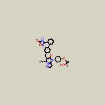 CCCc1c(Cc2ccc(-c3ccccc3-c3noc(=O)[nH]3)cc2)c(=O)n([C@H]2CC[C@H](O[C@@H]3C[C@]3(C)O)CC2)c2ccnn12